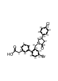 O=C(O)Cc1cccc(-c2ccc(Br)cc2CN2CC(c3ccc(Cl)cc3)CC2=O)c1